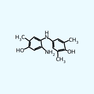 Cc1cc(Nc2cc(C)c(O)c(C)c2)c(N)cc1O